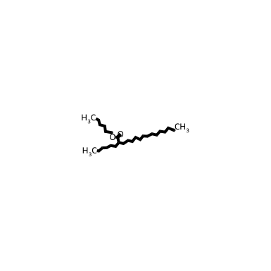 CCCCCCCCCCCCCCC(CCCCCC)C(=O)OCCCCCC